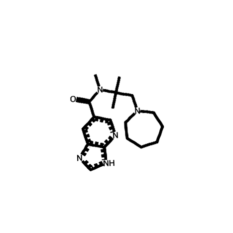 CN(C(=O)c1cnc2[nH]cnc2c1)C(C)(C)CN1CCCCCC1